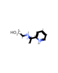 C/C(=N\CC(=O)O)c1ccccn1